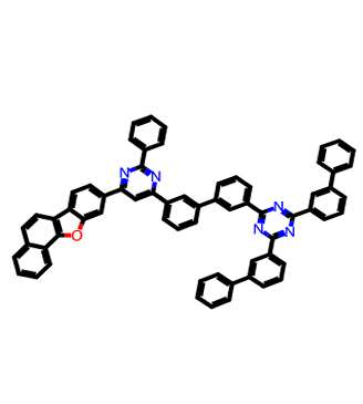 c1ccc(-c2cccc(-c3nc(-c4cccc(-c5ccccc5)c4)nc(-c4cccc(-c5cccc(-c6cc(-c7ccc8c(c7)oc7c9ccccc9ccc87)nc(-c7ccccc7)n6)c5)c4)n3)c2)cc1